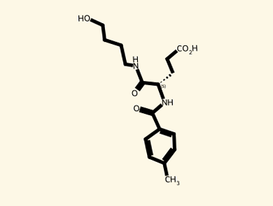 Cc1ccc(C(=O)N[C@@H](CCC(=O)O)C(=O)NCCCCO)cc1